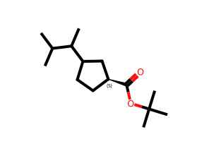 CC(C)C(C)C1CC[C@H](C(=O)OC(C)(C)C)C1